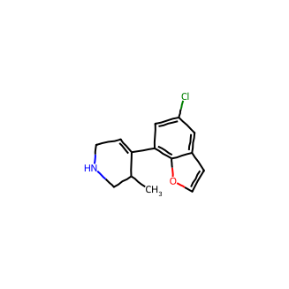 CC1CNCC=C1c1cc(Cl)cc2ccoc12